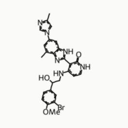 COc1ccc(C(O)CNc2cc[nH]c(=O)c2-c2nc3c(C)cc(-n4cnc(C)c4)cc3[nH]2)cc1Br